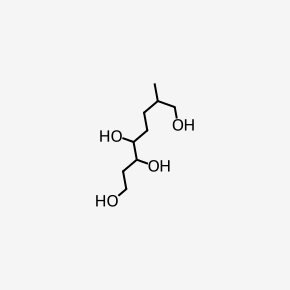 CC(CO)CCC(O)C(O)CCO